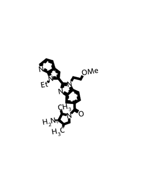 CCn1c(-c2nc3cc(C(=O)N4CC(C)[C@@H](N)C4C)ccc3n2CCOC)cc2cccnc21